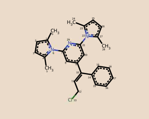 Cc1ccc(C)n1-c1cc(C(=CCCl)c2ccccc2)cc(-n2c(C)ccc2C)n1